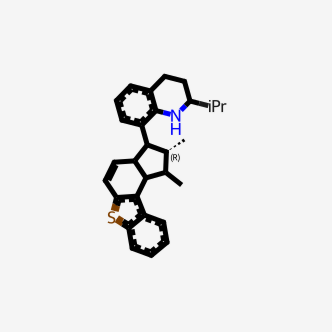 CC(C)C1CCc2cccc(C3C4C=Cc5sc6ccccc6c5C4C(C)[C@H]3C)c2N1